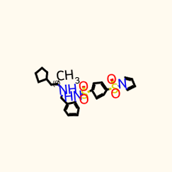 C[C@@H](CC1CCCC1)NCc1ccccc1NS(=O)(=O)c1ccc(S(=O)(=O)n2cccc2)cc1